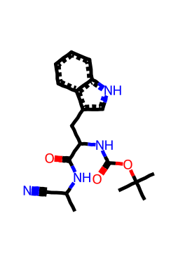 CC(C#N)NC(=O)C(Cc1c[nH]c2ccccc12)NC(=O)OC(C)(C)C